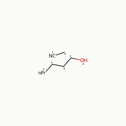 CC#N.CCCCCCO